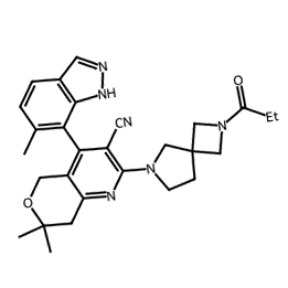 CCC(=O)N1CC2(CCN(c3nc4c(c(-c5c(C)ccc6cn[nH]c56)c3C#N)COC(C)(C)C4)C2)C1